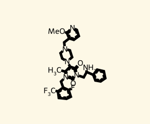 COc1ncccc1CN1CCN(c2c(C)n(Cc3c(F)cccc3C(F)(F)F)c(=O)n(CC(N)c3ccccc3)c2=O)CC1